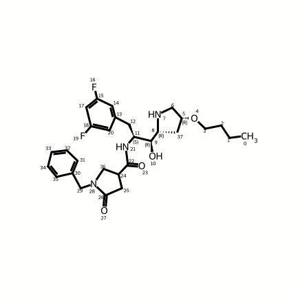 CCCCO[C@H]1CN[C@@H]([C@@H](O)[C@H](Cc2cc(F)cc(F)c2)NC(=O)C2CC(=O)N(Cc3ccccc3)C2)C1